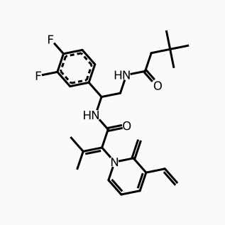 C=CC1=CC=CN(C(C(=O)NC(CNC(=O)CC(C)(C)C)c2ccc(F)c(F)c2)=C(C)C)C1=C